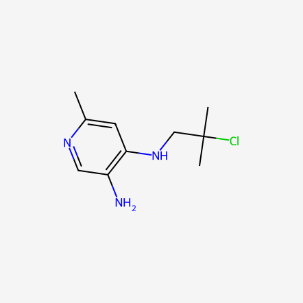 Cc1cc(NCC(C)(C)Cl)c(N)cn1